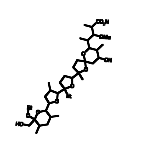 CCOC1(CO)OC(C2CC(C)C(C3(CC)CCC(C4(C)CCC5(CC(O)C(C)C(C(C)C(OC)C(C)C(=O)O)O5)O4)O3)O2)C(C)CC1C